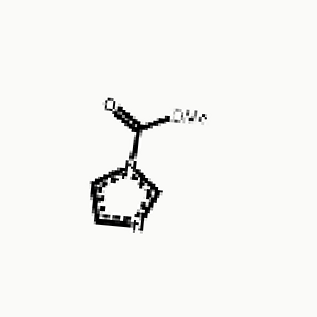 [CH2]OC(=O)n1ccnc1